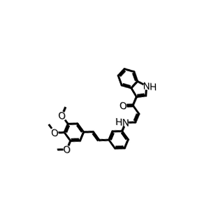 COc1cc(C=Cc2cccc(N/C=C\C(=O)c3c[nH]c4ccccc34)c2)cc(OC)c1OC